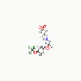 CC(C)(CN1CCC2(C1)CS(=O)(=O)C2)Oc1ccc(OC(F)(F)F)cc1